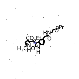 CCCOCCNC(=O)Cc1ccc2c(c1)/C(=C/c1[nH]c(C)cc1C(=O)OCC)C(=O)N2